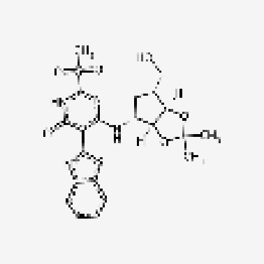 CC1(C)O[C@@H]2[C@@H](CO)C[C@@H](Nc3nc(S(C)(=O)=O)[nH]c(=O)c3-c3nc4ccccc4s3)[C@@H]2O1